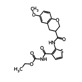 CCOC(=O)NC(=O)c1ccsc1NC(=O)C1COc2ccc(OC)cc2C1